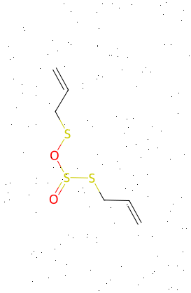 C=CCSOS(=O)SCC=C